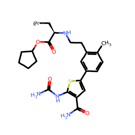 Cc1ccc(-c2cc(C(N)=O)c(NC(N)=O)s2)cc1CCN[C@H](CC(C)C)C(=O)OC1CCCC1